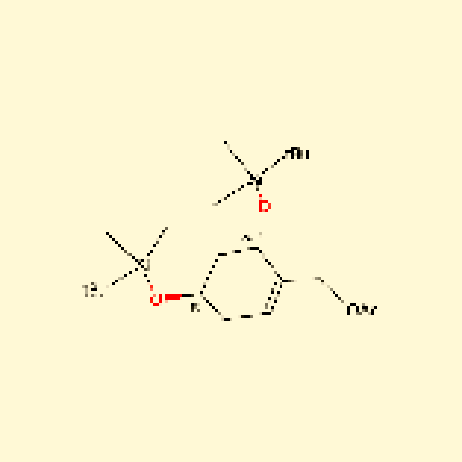 CC(=O)OCC1=CC[C@@H](O[Si](C)(C)C(C)(C)C)C[C@@H]1O[Si](C)(C)C(C)(C)C